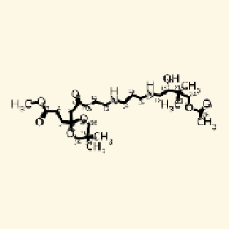 COC(=O)CCC1(CC(=O)SCCNCCCNC[C@H](O)C(C)(C)COC(C)=O)OCC(C)(C)CO1